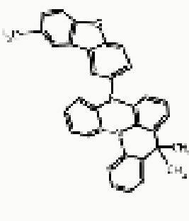 Cc1ccc2sc3ccc(N4c5ccccc5N5c6ccccc6C(C)(C)c6cccc4c65)cc3c2c1